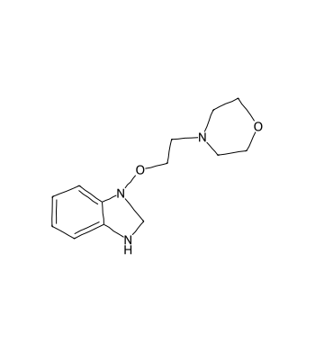 c1ccc2c(c1)NCN2OCCN1CCOCC1